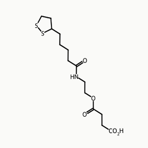 O=C(O)CCC(=O)OCCNC(=O)CCCCC1CCSS1